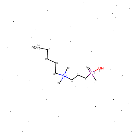 C=P(C)(O)CCC[N+](C)(C)CCCCCCCCCCCC